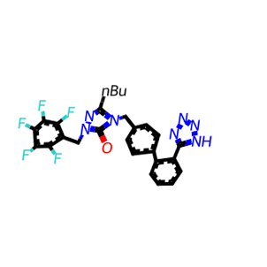 CCCCc1nn(Cc2c(F)c(F)c(F)c(F)c2F)c(=O)n1Cc1ccc(-c2ccccc2-c2nnn[nH]2)cc1